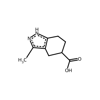 Cc1n[nH]c2c1CC(C(=O)O)CC2